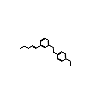 CCC/C=C/c1cccc(CCc2ccc(CC)cc2)c1